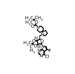 CC(C)(C)OC(=O)N1CCC2(CCCN2C[C@H]2O[C@@H](n3cc(F)c4c(Cl)ncnc43)[C@@H]3OC(C)(C)O[C@@H]32)CC1